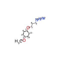 COc1ccc(OCCCN=[N+]=[N-])cc1